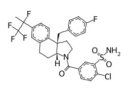 CC(F)(c1ccc2c(c1)CC[C@H]1N(C(=O)c3ccc(Cl)c(S(N)(=O)=O)c3)CC[C@@]21Cc1ccc(F)cc1)C(F)(F)F